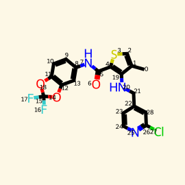 Cc1csc(C(=O)Nc2ccc3c(c2)OC(F)(F)O3)c1NCc1ccnc(Cl)c1